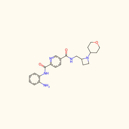 Nc1ccccc1NC(=O)c1ccc(C(=O)NCC2CCN2C2CCOCC2)cn1